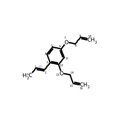 [CH2]/C=C/c1ccc(OCC=C)cc1OCC=C